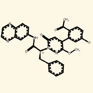 COc1nn([C@@H](Cc2ccccc2)C(=O)Nc2ccc3nccnc3c2)c(=O)cc1-c1cc(Cl)ccc1C(C)=O